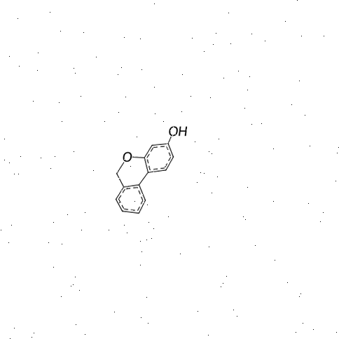 Oc1ccc2c(c1)OCc1ccccc1-2